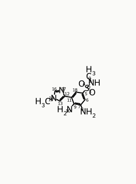 CNS(=O)(=O)c1cc(N)c(N)c(-c2cn(C)cn2)c1